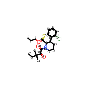 CCCOC(=S)C1C(c2ccccc2Cl)CCCN1C(=O)C(=O)C(C)(C)CC